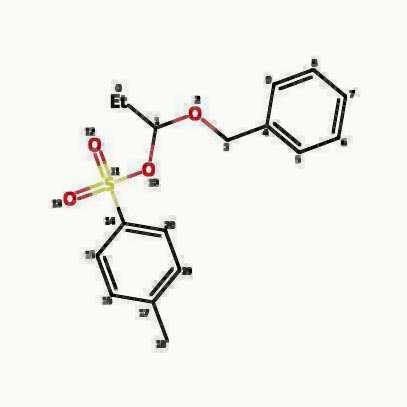 CCC(OCc1ccccc1)OS(=O)(=O)c1ccc(C)cc1